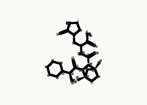 NC(=O)[C@H](C[C@@H]1CCNC1=O)NC(=O)[C@@H]1[C@H]2CC[C@H](C2)N1C(=O)[C@@H](N)C1CCCCC1